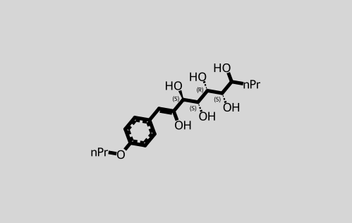 CCCOc1ccc(C=C(O)[C@@H](O)[C@@H](O)[C@H](O)[C@@H](O)C(O)CCC)cc1